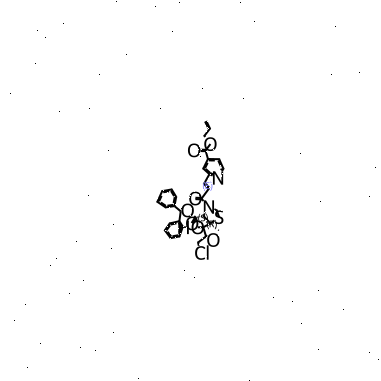 C=CCOC(=O)c1ccnc(/C=C/C(=O)N2CS[C@@](C)(C(O)C(=O)CCl)[C@@H]2C(=O)OC(c2ccccc2)c2ccccc2)c1